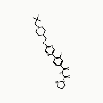 CC(C)(F)CN1CCC(COc2cnc(-c3ccc(C(=O)NC(=O)[C@@H]4CCCN4)cc3F)cn2)CC1